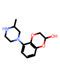 CC1CN(c2cccc3c2OCC(O)O3)CCN1